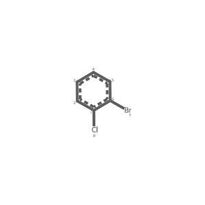 Clc1cc[c][c]c1Br